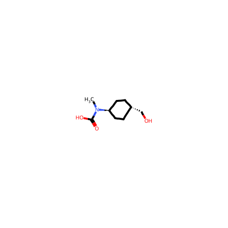 CN(C(=O)O)[C@H]1CC[C@H](CO)CC1